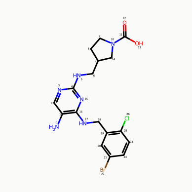 Nc1cnc(NCC2CCN(C(=O)O)C2)nc1NCc1cc(Br)ccc1Cl